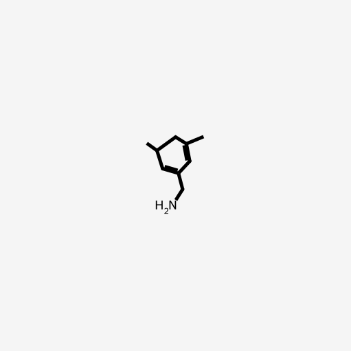 CC1=CC(CN)=CC(C)C1